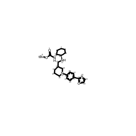 CC(C)(C)OC(=O)N[C@@H]1CCCC[C@H]1NCC1CCCN(c2ccc(-c3ncco3)cc2)C1